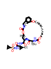 CC[C@H]1C[C@@]1(NC(=O)C1C[C@@H]2CN1C(=O)[C@H](C(C)(C)C)NC(=O)OCCCCCCCOc1cccc3c1CN(C3)C(=O)O2)C(=O)NS(=O)(=O)C1CC1